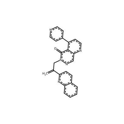 C=C(Cn1ncc2nccc(-c3ccncc3)c2c1=O)c1ccc2ccccc2n1